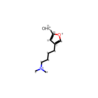 CN(C)CCCCc1coc(C=O)c1